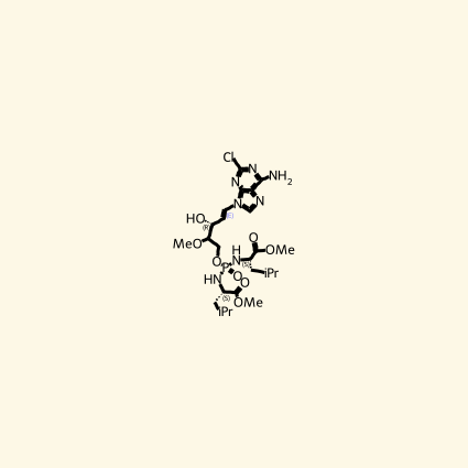 COC(=O)[C@H](CC(C)C)NP(=O)(N[C@@H](CC(C)C)C(=O)OC)OCC(OC)[C@H](O)/C=C/n1cnc2c(N)nc(Cl)nc21